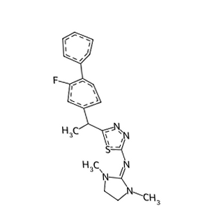 CC(c1ccc(-c2ccccc2)c(F)c1)c1nnc(N=C2N(C)CCN2C)s1